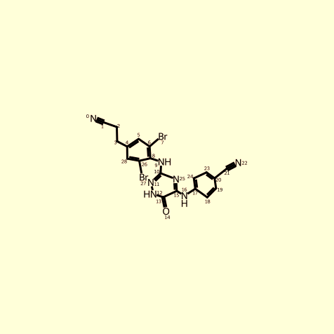 N#CCCc1cc(Br)c(Nc2n[nH]c(=O)c(Nc3ccc(C#N)cc3)n2)c(Br)c1